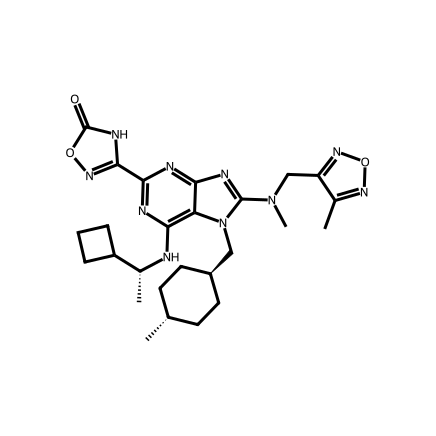 Cc1nonc1CN(C)c1nc2nc(-c3noc(=O)[nH]3)nc(N[C@H](C)C3CCC3)c2n1C[C@H]1CC[C@H](C)CC1